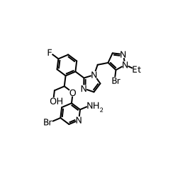 CCn1ncc(Cn2ccnc2-c2ccc(F)cc2C(CO)Oc2cc(Br)cnc2N)c1Br